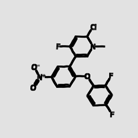 CN1C=C(c2cc([N+](=O)[O-])ccc2Oc2ccc(F)cc2F)C(F)=CC1Cl